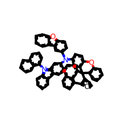 c1ccc2c(c1)Oc1ccc(N(c3ccc4oc5ccccc5c4c3)c3ccc4c5ccccc5n(-c5cccc6ccccc56)c4c3)cc1C21c2ccccc2-c2cccc3cccc1c23